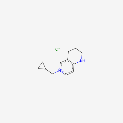 [Cl-].c1c[n+](CC2CC2)cc2c1NCCC2